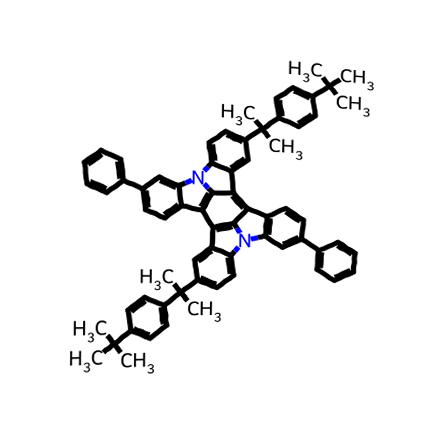 CC(C)(C)c1ccc(C(C)(C)c2ccc3c(c2)c2c4c5ccc(-c6ccccc6)cc5n5c6ccc(C(C)(C)c7ccc(C(C)(C)C)cc7)cc6c(c6c7ccc(-c8ccccc8)cc7n3c26)c45)cc1